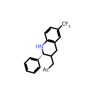 CC(=O)CC1Cc2cc(C(F)(F)F)ccc2N[C@H]1c1ccccc1